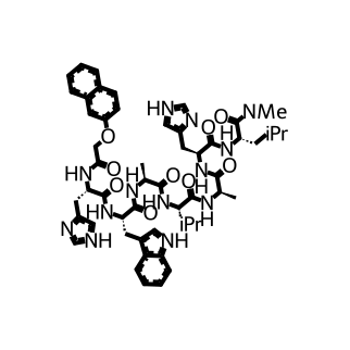 CNC(=O)[C@H](CC(C)C)NC(=O)[C@H](Cc1c[nH]cn1)NC(=O)[C@@H](C)NC(=O)[C@@H](NC(=O)[C@H](C)NC(=O)[C@H](Cc1c[nH]c2ccccc12)NC(=O)[C@H](Cc1c[nH]cn1)NC(=O)COc1ccc2ccccc2c1)C(C)C